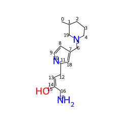 CC1CCCN(Cc2ccnc(C/C=C(/O)CN)c2)C1